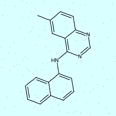 Cc1ccc2ncnc(Nc3cccc4ccccc34)c2c1